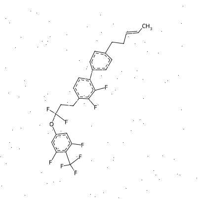 C/C=C/CCc1ccc(-c2ccc(CCC(F)(F)Oc3cc(F)c(C(F)(F)F)c(F)c3)c(F)c2F)cc1